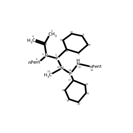 C=C(C)N(CCCCC)P(C1CCCCC1)N(C)P(NCCCCC)C1CCCCC1